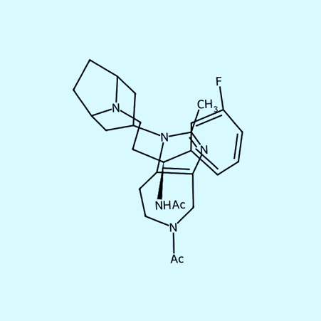 CC(=O)N[C@@H](CCN1C2CCC1CC(n1c(C)nc3c1CCN(C(C)=O)C3)C2)c1cccc(F)c1